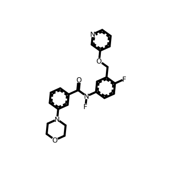 O=C(c1cccc(N2CCOCC2)c1)N(F)c1ccc(F)c(COc2cccnc2)c1